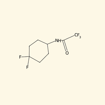 O=C(NC1CCC(F)(F)CC1)C(F)(F)F